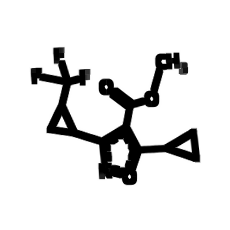 COC(=O)c1c(C2CC2C(F)(F)F)noc1C1CC1